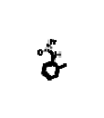 Cc1ccccc1N[S+]([O-])C(C)C